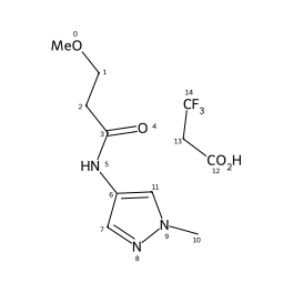 COCCC(=O)Nc1cnn(C)c1.O=C(O)CC(F)(F)F